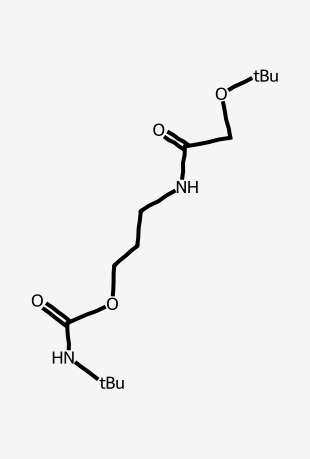 CC(C)(C)NC(=O)OCCCNC(=O)COC(C)(C)C